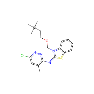 Cc1cc(Cl)nnc1N=c1sc2ccccc2n1COCC[Si](C)(C)C